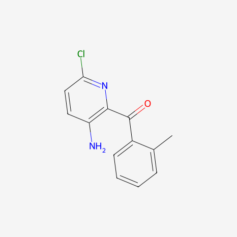 Cc1ccccc1C(=O)c1nc(Cl)ccc1N